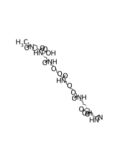 CCC(=O)N1CCC(C(=O)N[C@@H](CCC(=O)NCCOCCOCC(=O)NCCOCCOCC(=O)NCCCC[C@H](CC(=O)CCc2cnc[nH]2)C(=O)O)C(=O)O)CC1